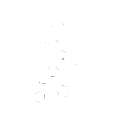 CCCCCCC1=C(c2cc(CCCCCC)c(-c3ccc(-c4nc5ccccc5n4-c4ccccc4)cc3)s2)SC(/C=C(/C#N)C(=O)O)[C@H]1C